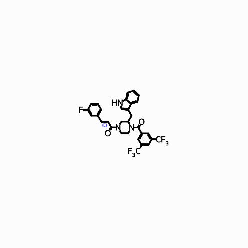 O=C(/C=C/c1cccc(F)c1)N1CCN(C(=O)c2cc(C(F)(F)F)cc(C(F)(F)F)c2)C(Cc2c[nH]c3ccccc23)C1